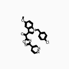 COc1ccc2c(c1)c(C(=O)c1nc(-c3ccnnc3)no1)cn2Cc1ccc(Cl)cc1